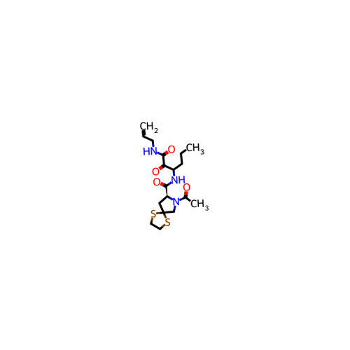 C=CCNC(=O)C(=O)C(CCC)NC(=O)[C@@H]1CC2(CN1C(C)=O)SCCS2